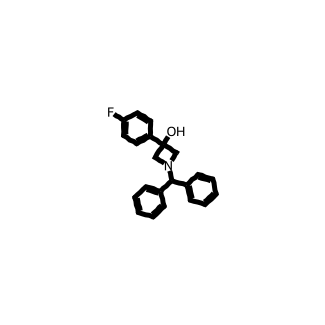 OC1(c2ccc(F)cc2)CN(C(c2ccccc2)c2ccccc2)C1